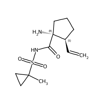 C=C[C@@H]1CCC[C@]1(N)C(=O)NS(=O)(=O)C1(C)CC1